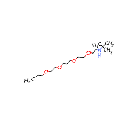 CCCOCCOCCCOCCOCCNC(C)(C)C